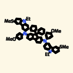 CCn1c2ccc(SC)cc2c2cc(N(c3ccc(OC)cc3)c3ccc4c(c3)C(c3ccccc3)(c3ccccc3)c3cc(N(c5ccc(OC)cc5)c5ccc6c(c5)c5cc(SC)ccc5n6CC)ccc3-4)ccc21